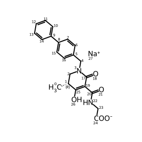 C[C@@H]1CN(Cc2ccc(-c3ccccc3)cc2)C(=O)C(C(=O)NCC(=O)[O-])=C1O.[Na+]